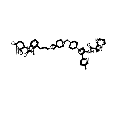 Cc1ccc(-c2nn([C@H]3CC[C@H](CN4CCC5(CC4)CN(CCCc4cccc6c4n(C)c(=O)n6C4CCC(=O)NC4=O)C5)CC3)cc2NC(=O)c2cnn3cccnc23)nc1